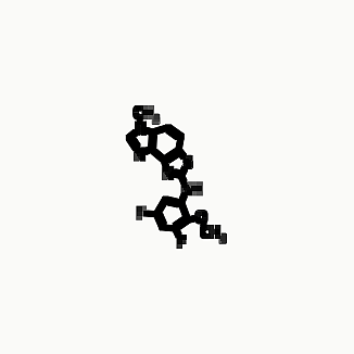 COc1c(F)cc(F)cc1Nc1nc2c(ccc3c2ncn3C)s1